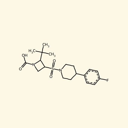 CC(C)(C)C1C(S(=O)(=O)N2CCC(c3ccc(F)cc3)CC2)CN1C(=O)O